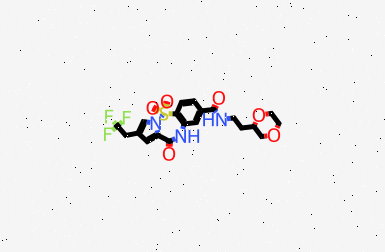 O=C(NCCC1COCCO1)c1ccc2c(c1)NC(=O)c1cc(CC(F)(F)F)cn1S2(=O)=O